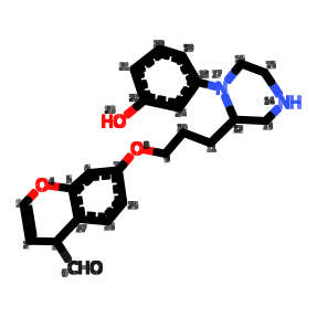 O=CC1C=COc2cc(OCCCC3CNCCN3c3cccc(O)c3)ccc21